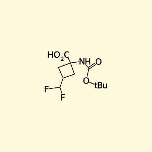 CC(C)(C)OC(=O)NC1(C(=O)O)CC(C(F)F)C1